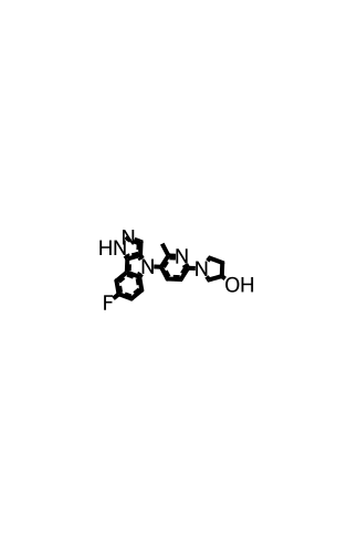 Cc1nc(N2CCC(O)C2)ccc1-n1c2ccc(F)cc2c2[nH]ncc21